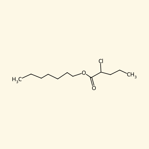 CCCCCCCOC(=O)C(Cl)CCC